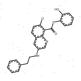 O=C(Oc1ccccc1O)c1c(Cl)ccc2cc(NCCc3ccccc3)cnc12